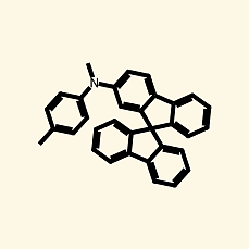 Cc1ccc(N(C)c2ccc3c(c2)C2(c4ccccc4-c4ccccc42)c2ccccc2-3)cc1